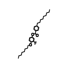 CCCCCCCCCc1ccc(C(=O)Oc2ccc(OCCCCCCCC)c(F)c2)cc1